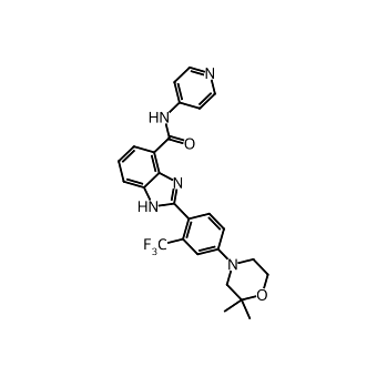 CC1(C)CN(c2ccc(-c3nc4c(C(=O)Nc5ccncc5)cccc4[nH]3)c(C(F)(F)F)c2)CCO1